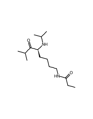 CCC(=O)NCCCC[C@H](NC(C)C)C(=O)C(C)C